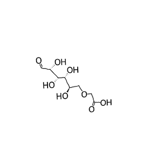 O=C[C@H](O)[C@@H](O)[C@H](O)[C@H](O)COCC(=O)O